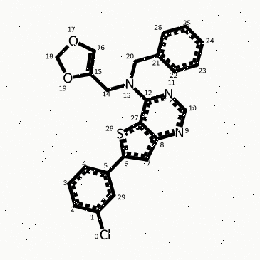 Clc1cccc(-c2cc3ncnc(N(CC4=COCO4)Cc4ccccc4)c3s2)c1